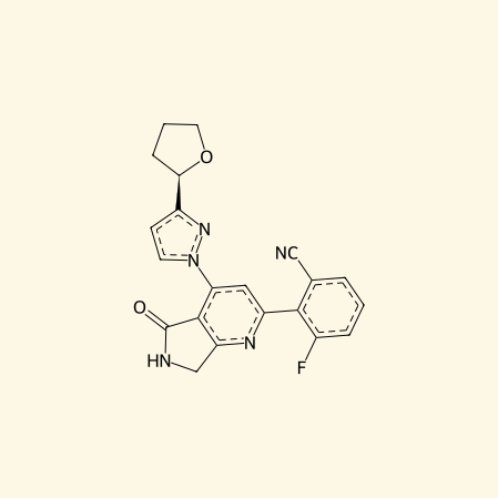 N#Cc1cccc(F)c1-c1cc(-n2ccc([C@H]3CCCO3)n2)c2c(n1)CNC2=O